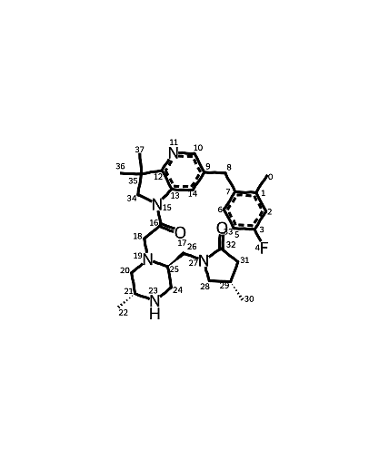 Cc1cc(F)ccc1Cc1cnc2c(c1)N(C(=O)CN1C[C@@H](C)NC[C@@H]1CN1C[C@@H](C)CC1=O)CC2(C)C